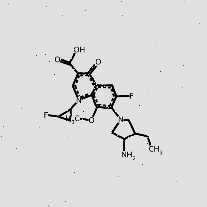 CCC1CN(c2c(F)cc3c(=O)c(C(=O)O)cn(C4CC4F)c3c2OC)CC1N